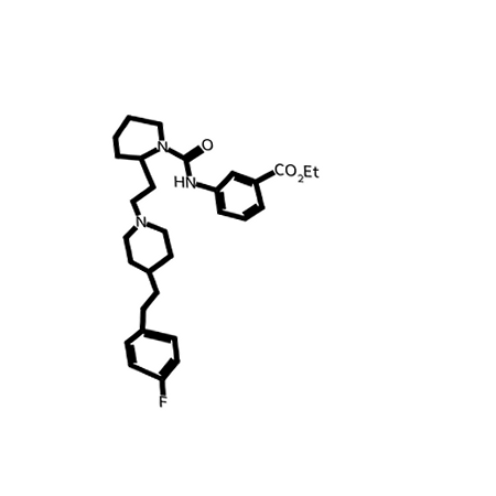 CCOC(=O)c1cccc(NC(=O)N2CCCCC2CCN2CCC(CCc3ccc(F)cc3)CC2)c1